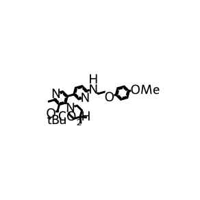 COc1ccc(OCCNc2ccc(-c3cnc(C)c(C(OC(C)(C)C)C(=O)O)c3N3CCC(C)(C)CC3)cn2)cc1